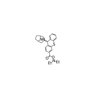 CCN(CC)OC(=O)c1ccc2c(c1)Sc1ccccc1C2=C1CC2CCC(C1)N2